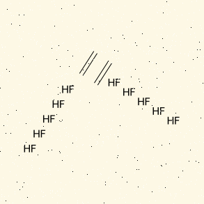 C=C.C=C.F.F.F.F.F.F.F.F.F.F